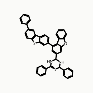 c1ccc(C2=NC(c3ccccc3)NC(c3cc(-c4ccc5c(c4)sc4ccc(-c6ccccc6)cc45)c4c(c3)oc3ccccc34)N2)cc1